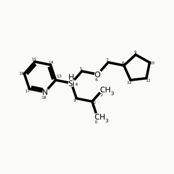 CC(C)C[SiH](COCC1CCCC1)c1ccccn1